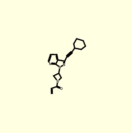 C=CC(=O)N1CC(n2nc(C#CC3CCCCC3)c3cccnc32)C1